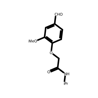 COc1cc(C=O)ccc1OCC(=O)NC(C)C